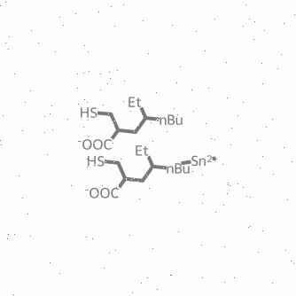 CCCCC(CC)CC(CS)C(=O)[O-].CCCCC(CC)CC(CS)C(=O)[O-].[CH3][Sn+2][CH3]